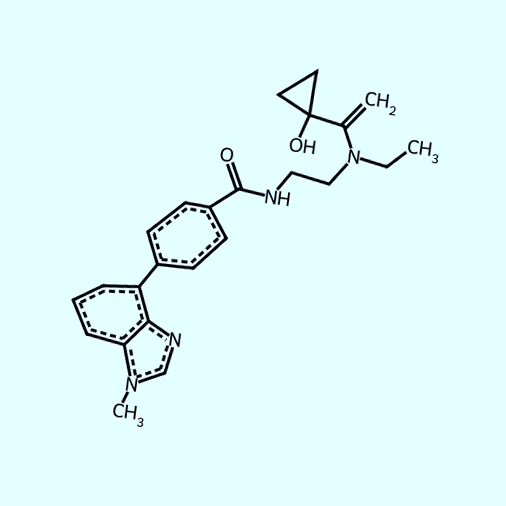 C=C(N(CC)CCNC(=O)c1ccc(-c2cccc3c2ncn3C)cc1)C1(O)CC1